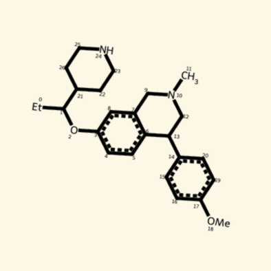 CCC(Oc1ccc2c(c1)CN(C)CC2c1ccc(OC)cc1)C1CCNCC1